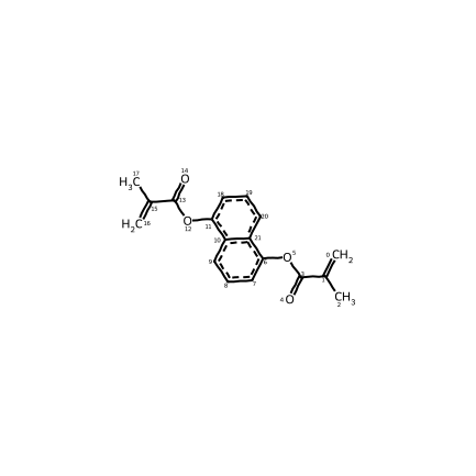 C=C(C)C(=O)Oc1cccc2c(OC(=O)C(=C)C)cccc12